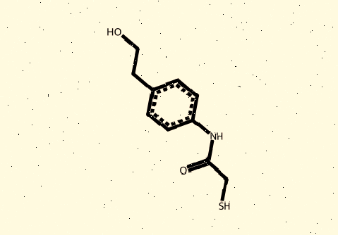 O=C(CS)Nc1ccc(CCO)cc1